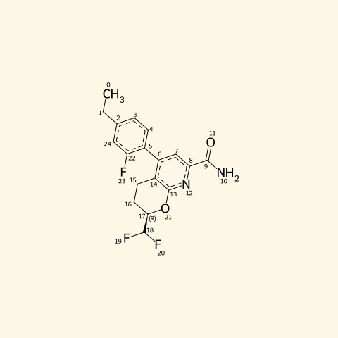 CCc1ccc(-c2cc(C(N)=O)nc3c2CC[C@H](C(F)F)O3)c(F)c1